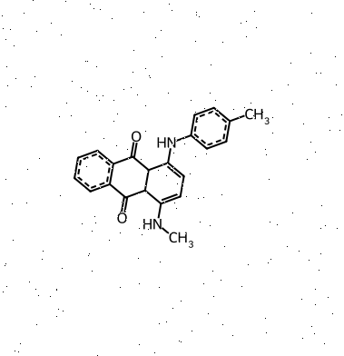 CNC1=CC=C(Nc2ccc(C)cc2)C2C(=O)c3ccccc3C(=O)C12